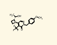 COc1ccc(Cn2ncc(N3CC[C@@H]3C(C)O)c(C(F)(F)F)c2=O)cc1